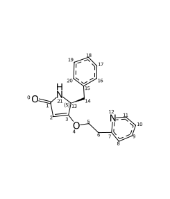 O=C1C=C(OCCc2ccccn2)[C@H](Cc2ccccc2)N1